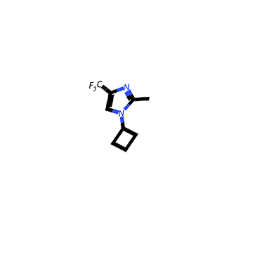 Cc1nc(C(F)(F)F)cn1C1CCC1